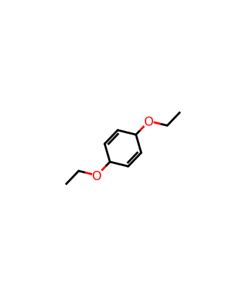 CCOC1C=CC(OCC)C=C1